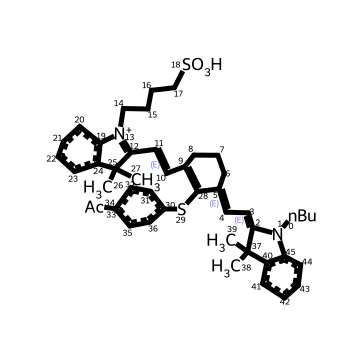 CCCCN1/C(=C/C=C2\CCCC(/C=C/C3=[N+](CCCCS(=O)(=O)O)c4ccccc4C3(C)C)=C2Sc2ccc(C(C)=O)cc2)C(C)(C)c2ccccc21